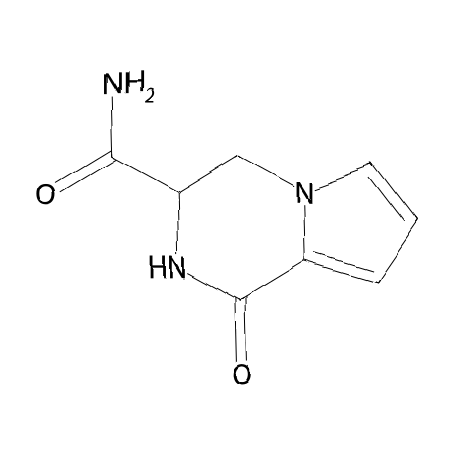 NC(=O)C1Cn2cccc2C(=O)N1